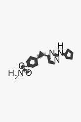 NS(=O)(=O)c1ccc([C@@H]2C[C@H]2c2ccnc(NC3CCCC3)n2)cc1